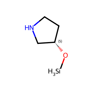 [SiH3]O[C@H]1CCNC1